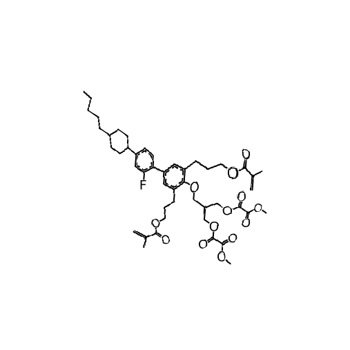 C=C(C)C(=O)OCCCc1cc(-c2ccc(C3CCC(CCCCC)CC3)cc2F)cc(CCCOC(=O)C(=C)C)c1OCC(COC(=O)C(=O)OC)COC(=O)C(=O)OC